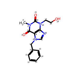 Cn1c(=O)c2c(ncn2Cc2ccccc2)n(CCO)c1=O